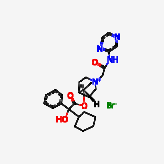 O=C(C[N+]12CCC(CC1)[C@@H](OC(=O)C(O)(c1ccccc1)C1CCCCC1)C2)Nc1cnccn1.[Br-]